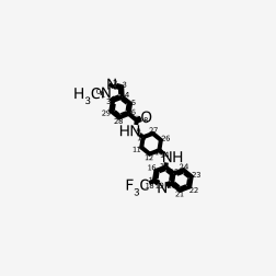 Cn1ncc2cc(C(=O)NC3CCC(Nc4cc(C(F)(F)F)nc5ccccc45)CC3)ccc21